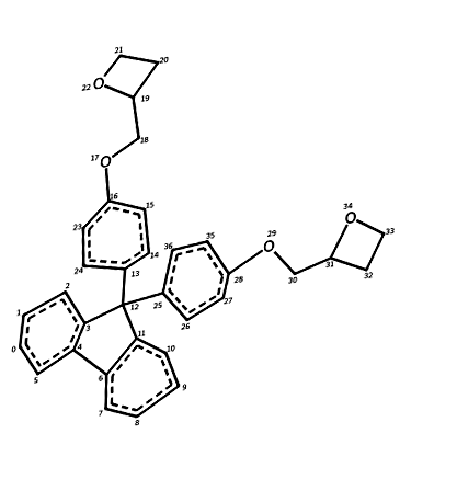 c1ccc2c(c1)-c1ccccc1C2(c1ccc(OCC2CCO2)cc1)c1ccc(OCC2CCO2)cc1